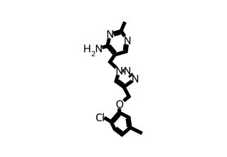 Cc1ccc(Cl)c(OCc2cn(Cc3cnc(C)nc3N)nn2)c1